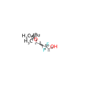 CC(C)(C)[Si](C)(C)OCC#CC(F)(F)CO